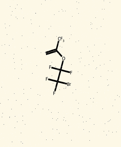 C=C(OC(F)(F)C(F)(F)Br)C(F)(F)F